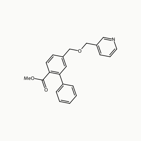 COC(=O)c1ccc(COCc2cccnc2)cc1-c1ccccc1